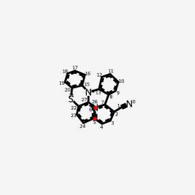 N#Cc1cccnc1-c1ccccc1N1c2ccccc2Sc2ccccc21